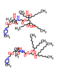 CCCCCCCCC(CCCCCC)(CC(COC(=O)CCNC(=O)[C@H](O)C(C)(C)COC(=O)CCN1CCN(C)CC1)C(CCCCCC)(CCCCCCCC)C(=O)O)C(=O)O.CCCCCCCCC(CCCCCC)C(=O)OCC(COC(=O)CCNC(=O)[C@H](O)C(C)(C)COC(=O)CCN1CCN(C)CC1)OC(=O)C(CCCCCC)CCCCCCCC